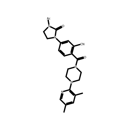 CC(=O)N1CCN(c2ccc(C(=O)N3CCN(c4ncc(C)cc4C)CC3)c(C#N)c2)C1=O